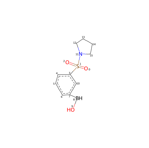 O=S(=O)(c1cccc(BO)c1)N1CCCC1